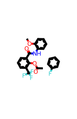 COc1ccccc1NC(=O)c1cccc(C(F)(F)F)c1OC(C)=O.Fc1ccccc1